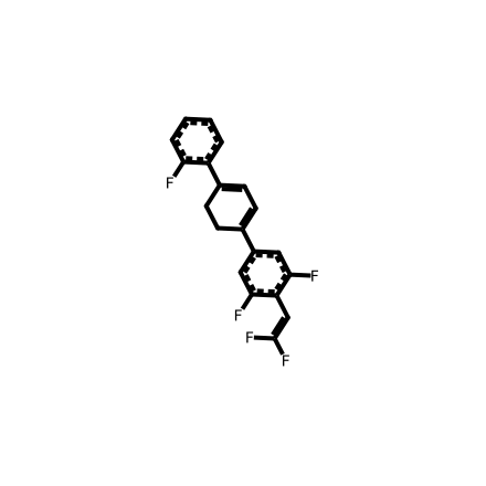 FC(F)=Cc1c(F)cc(C2=CC=C(c3ccccc3F)CC2)cc1F